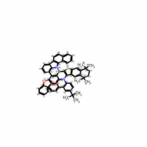 CC(C)(C)c1ccc(N2c3cc4c(oc5ccccc54)c4c3B(c3sc5cc6c(cc5c32)C(C)(C)CCC6(C)C)n2c3c-4cccc3c3ccc4ccccc4c32)c(-c2ccccc2)c1